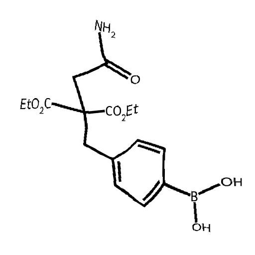 CCOC(=O)C(CC(N)=O)(Cc1ccc(B(O)O)cc1)C(=O)OCC